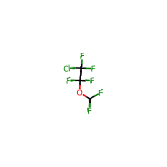 FC(F)OC(F)(F)C(F)(F)Cl